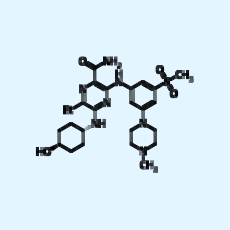 CCc1nc(C(N)=O)c(Nc2cc(N3CCN(C)CC3)cc(S(C)(=O)=O)c2)nc1N[C@H]1CC[C@H](O)CC1